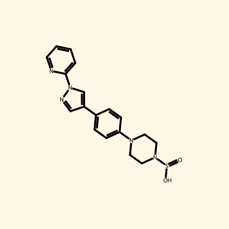 O=S(O)N1CCN(c2ccc(-c3cnn(-c4ccccn4)c3)cc2)CC1